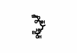 CC/C(O)=C\NCC(C)CNC(=O)OC(C)(C)C